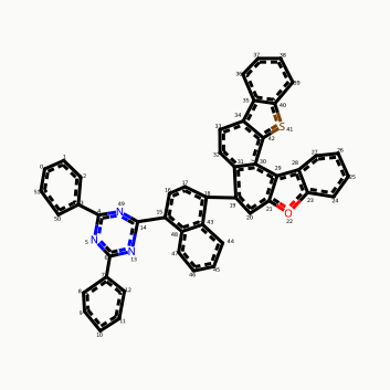 c1ccc(-c2nc(-c3ccccc3)nc(-c3ccc(-c4cc5oc6ccccc6c5c5c4ccc4c6ccccc6sc45)c4ccccc34)n2)cc1